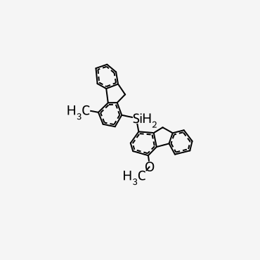 COc1ccc([SiH2]c2ccc(C)c3c2Cc2ccccc2-3)c2c1-c1ccccc1C2